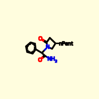 CCCCCC1CC(=O)N(C(C(N)=O)c2ccccc2)C1